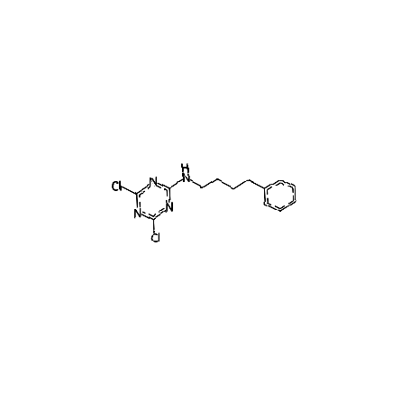 Clc1nc(Cl)nc(NCCCCc2ccccc2)n1